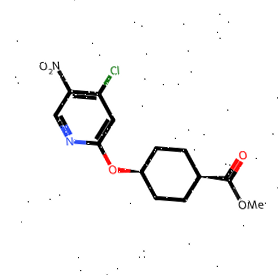 COC(=O)[C@H]1CC[C@@H](Oc2cc(Cl)c([N+](=O)[O-])cn2)CC1